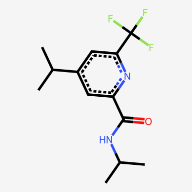 CC(C)NC(=O)c1cc(C(C)C)cc(C(F)(F)F)n1